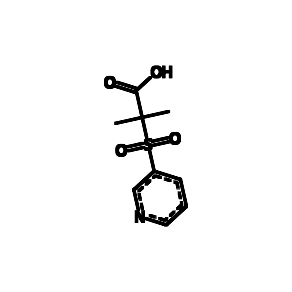 CC(C)(C(=O)O)S(=O)(=O)c1cccnc1